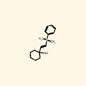 C[Si](C)(/C=C/C1(O)CCCCC1)c1ccccc1